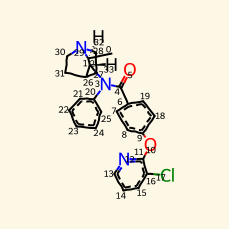 C[C@H]1[C@H](N(C(=O)c2ccc(Oc3ncccc3Cl)cc2)c2ccccc2)C2CCN1CC2